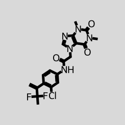 C=C(c1ccc(NC(=O)Cn2cnc3c2c(=O)n(C)c(=O)n3C)cc1Cl)C(C)(F)F